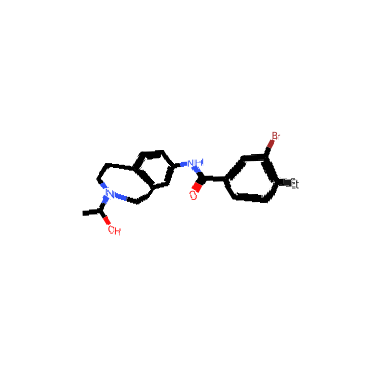 CCc1ccc(C(=O)Nc2ccc3c(c2)CN(C(C)O)CC3)cc1Br